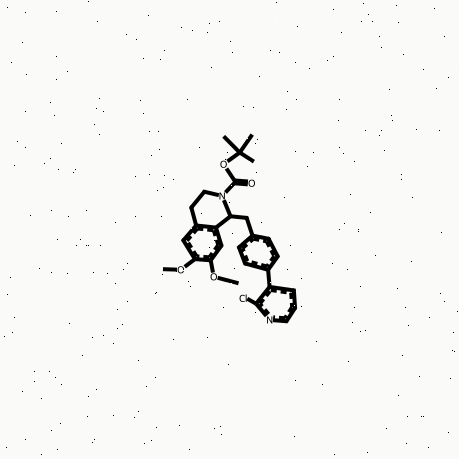 COc1cc2c(cc1OC)C(Cc1ccc(-c3cccnc3Cl)cc1)N(C(=O)OC(C)(C)C)CC2